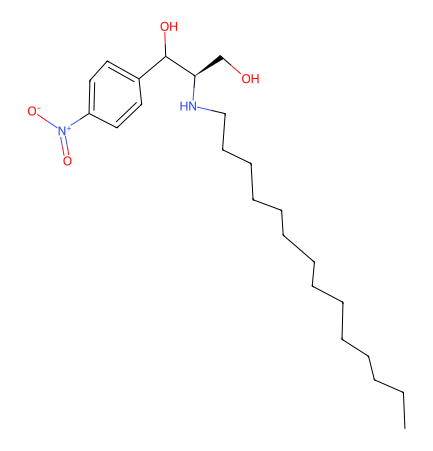 CCCCCCCCCCCCCCN[C@H](CO)C(O)c1ccc([N+](=O)[O-])cc1